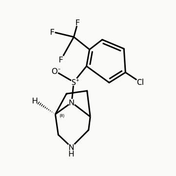 [O-][S+](c1cc(Cl)ccc1C(F)(F)F)N1C2CC[C@@H]1CNC2